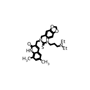 CCN(CC)CCCNC(=S)N(Cc1ccc2c(c1)OCO2)Cc1cc2cc(C)cc(C)c2[nH]c1=O